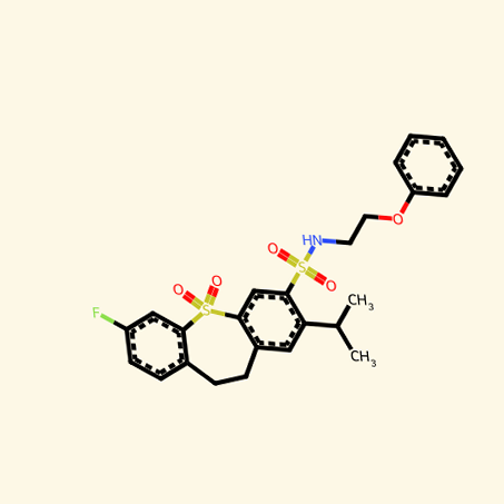 CC(C)c1cc2c(cc1S(=O)(=O)NCCOc1ccccc1)S(=O)(=O)c1cc(F)ccc1CC2